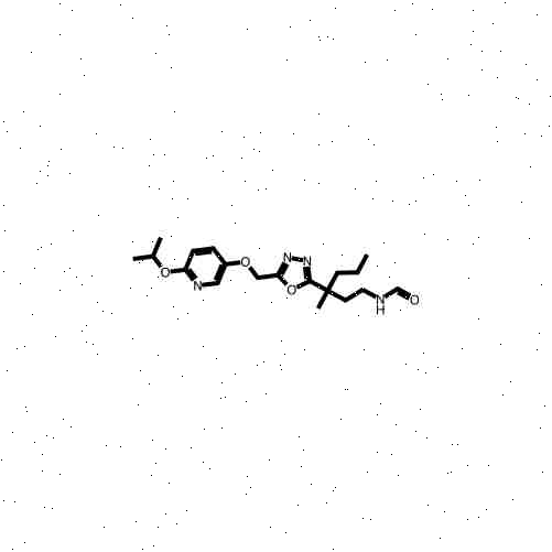 CCCC(C)(CCNC=O)c1nnc(COc2ccc(OC(C)C)nc2)o1